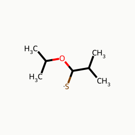 CC(C)OC([S])C(C)C